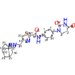 O=C1CCN(c2ccc(NC(=O)c3nc(CNC45CC6CC(CC(C6)C4)C5)cs3)cc2)C(=O)N1